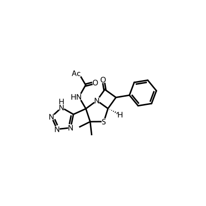 CC(=O)C(=O)NC1(c2nnn[nH]2)N2C(=O)C(c3ccccc3)[C@H]2SC1(C)C